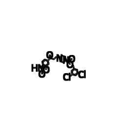 O=C(CCN1CCN(C(=O)OCc2cc(Cl)cc(Cl)c2)CC1)c1ccc2[nH]c(=O)oc2c1